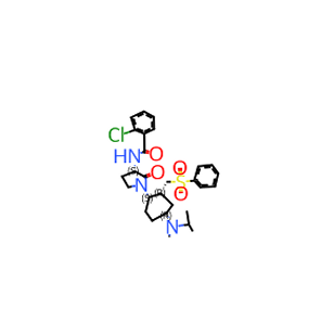 CC(C)N(C)[C@@H]1CC[C@H](N2CC[C@H](NC(=O)c3ccccc3Cl)C2=O)[C@H](CS(=O)(=O)c2ccccc2)C1